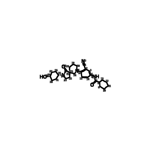 N#Cc1cc(NC(=O)C2CCCCC2)ccc1N1CCC[C@]2(CCN([C@H]3CC[C@H](O)CC3)C2=O)C1